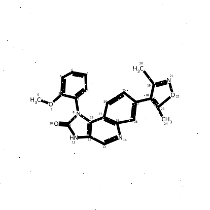 COc1ccccc1-n1c(=O)[nH]c2cnc3cc(-c4c(C)noc4C)ccc3c21